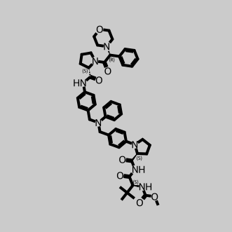 COC(=O)N[C@H](C(=O)NC(=O)[C@@H]1CCCN1c1ccc(CN(Cc2ccc(NC(=O)[C@@H]3CCCN3C(=O)[C@@H](c3ccccc3)N3CCOCC3)cc2)c2ccccc2)cc1)C(C)(C)C